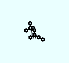 C1=CCCC(c2nc(-c3ccc(-c4ccccc4)cc3)cc(-c3ccc4ccc5c(C6=CCCC=C6)cc(-c6ccccc6)nc5c4n3)n2)=C1